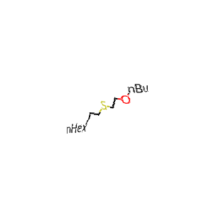 CCCCCCCCSCCOCCCC